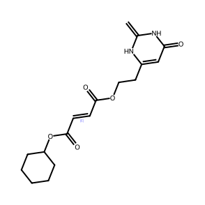 C=C1NC(=O)C=C(CCOC(=O)/C=C/C(=O)OC2CCCCC2)N1